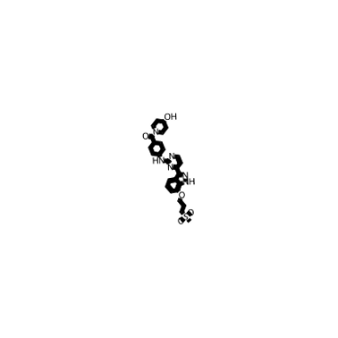 CS(=O)(=O)CCCOc1cccc2c(-c3ccnc(NC4CCC(C(=O)N5CCC(O)CC5)CC4)n3)n[nH]c12